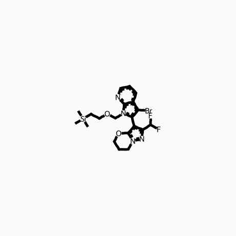 C[Si](C)(C)CCOCn1c(-c2c(C(F)F)nn3c2OCCC3)c(Br)c2cccnc21